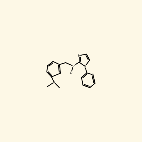 CN(C)c1cccc(C[S+]([O-])c2nccn2-c2ccccn2)c1